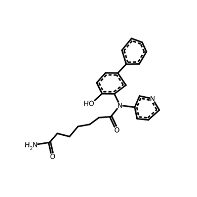 NC(=O)CCCCCC(=O)N(c1cccnc1)c1cc(-c2ccccc2)ccc1O